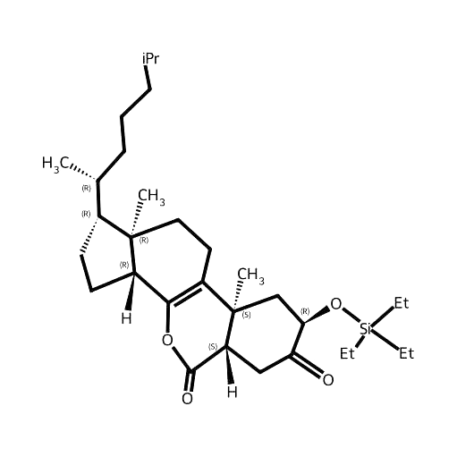 CC[Si](CC)(CC)O[C@@H]1C[C@]2(C)C3=C(OC(=O)[C@H]2CC1=O)[C@@H]1CC[C@H]([C@H](C)CCCC(C)C)[C@@]1(C)CC3